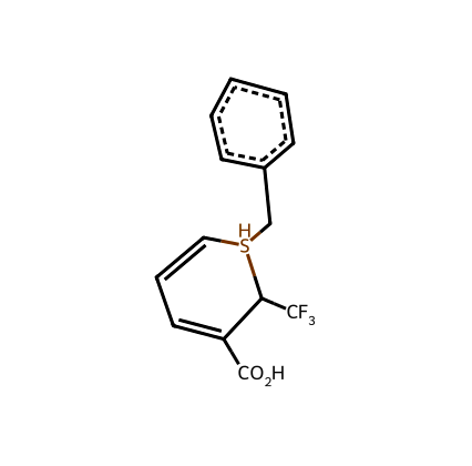 O=C(O)C1=CC=C[SH](Cc2ccccc2)C1C(F)(F)F